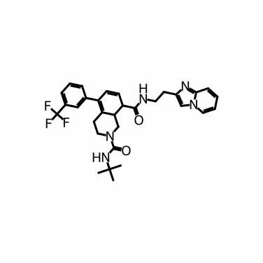 CC(C)(C)NC(=O)N1CCC2=C(c3cccc(C(F)(F)F)c3)C=CC(C(=O)NCCc3cn4ccccc4n3)C2C1